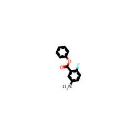 O=C(Oc1ccccc1)c1cc([N+](=O)[O-])ccc1F